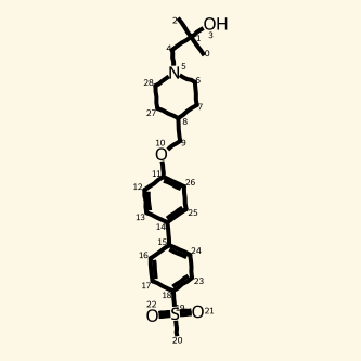 CC(C)(O)CN1CCC(COc2ccc(-c3ccc(S(C)(=O)=O)cc3)cc2)CC1